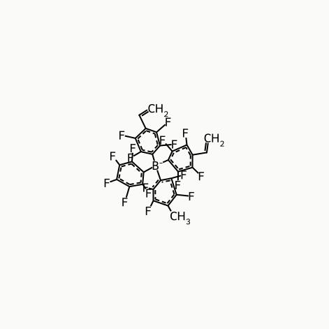 C=Cc1c(F)c(F)c([B-](c2c(F)c(F)c(C)c(F)c2F)(c2c(F)c(F)c(F)c(F)c2F)c2c(F)c(F)c(C=C)c(F)c2F)c(F)c1F